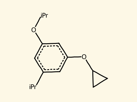 CC(C)Oc1cc(OC2CC2)cc(C(C)C)c1